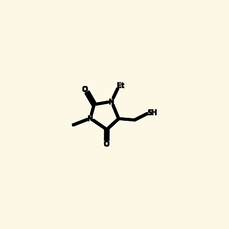 CCN1C(=O)N(C)C(=O)C1CS